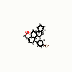 Brc1ccc(C2CC=Cc3ccc4c(c32)CCc2ccccc2-4)cc1.CCO